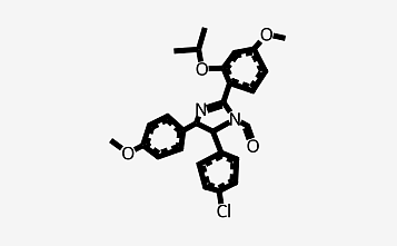 COc1ccc(C2N=C(c3ccc(OC)cc3OC(C)C)N(C=O)C2c2ccc(Cl)cc2)cc1